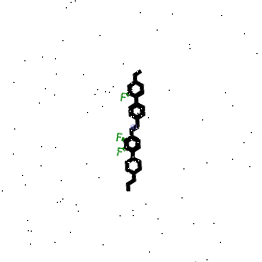 CCCC1CCC(c2ccc(/C=C/c3ccc(C4=CCC(CC)C=C4F)cc3)c(F)c2F)CC1